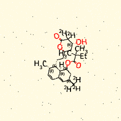 [2H]C([2H])([2H])[C@H]1C=C2C=C[C@H](C)[C@H](CCC3C[C@@H](O)C([2H])([2H])C(=O)O3)[C@H]2[C@@H](OC(=O)C(C)(C)CC)C1